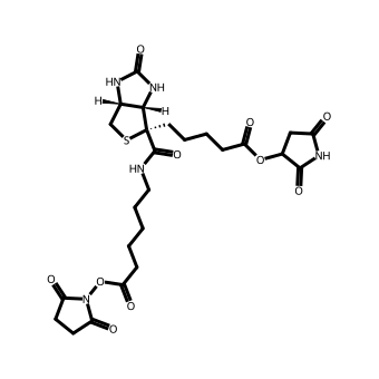 O=C1CC(OC(=O)CCCC[C@]2(C(=O)NCCCCCC(=O)ON3C(=O)CCC3=O)SC[C@@H]3NC(=O)N[C@@H]32)C(=O)N1